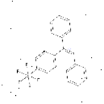 FS(F)(F)(F)(F)c1ccc(/C(=C\c2ccccc2)c2ccccc2)cc1